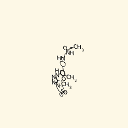 CC#CC(=O)NCCN[C@H]1CC[C@@H](c2cc(C)c3c(c2)Nc2ncnc(N4CCS(=O)(=O)CC4)c2[C@@H](C)O3)CC1